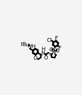 CC(C)(C)NCc1ccc2c(c1)OCC[C@H]2NC(=O)C[C@@H]1CCCN1S(=O)(=O)c1cc(Cl)c(F)cc1F